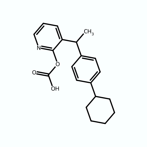 CC(c1ccc(C2CCCCC2)cc1)c1cccnc1OC(=O)O